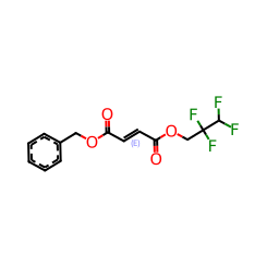 O=C(/C=C/C(=O)OCC(F)(F)C(F)F)OCc1ccccc1